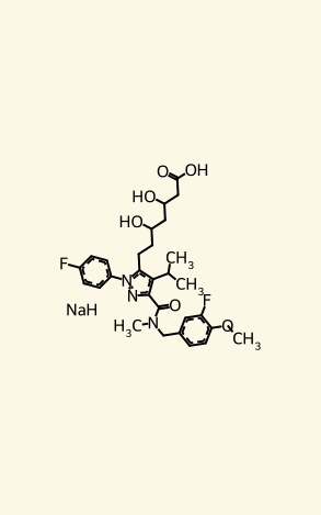 COc1ccc(CN(C)C(=O)c2nn(-c3ccc(F)cc3)c(CCC(O)CC(O)CC(=O)O)c2C(C)C)cc1F.[NaH]